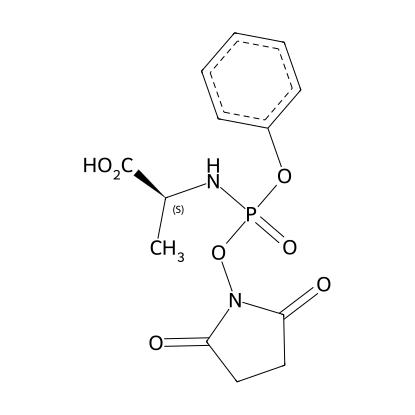 C[C@H](NP(=O)(Oc1ccccc1)ON1C(=O)CCC1=O)C(=O)O